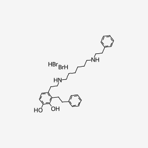 Br.Br.Oc1ccc(CCNCCCCCCNCCc2ccccc2)c(CCc2ccccc2)c1O